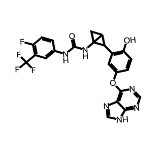 O=C(Nc1ccc(F)c(C(F)(F)F)c1)NC12CC1C2c1cc(Oc2ncnc3[nH]cnc23)ccc1O